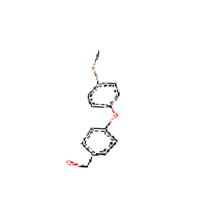 CSc1ccc(Oc2ccc(C=O)cc2)cc1